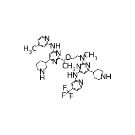 Cc1ccnc(Nc2cc(C3CCCNC3)nc(C(C)OCCN(C)c3nc(Nc4cc(C(F)(F)F)ccn4)cc(C4CCNCC4)n3)n2)c1